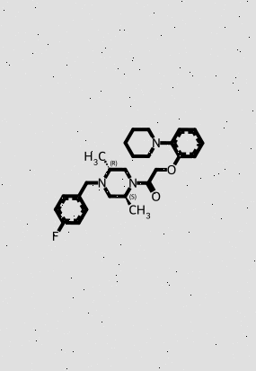 C[C@@H]1CN(C(=O)COc2ccccc2N2CCCCC2)[C@@H](C)CN1Cc1ccc(F)cc1